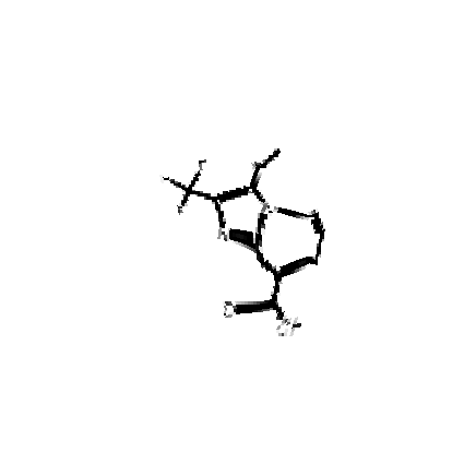 CCc1c(C(F)(F)F)nc2c(C(=O)O)cccn12